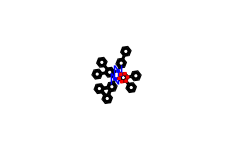 c1ccc(-c2ccc(N(c3ccc(-c4ccccc4)cc3)c3cc(-c4ccccc4)c(-c4ccccc4)cc3N(c3ccc(-c4ccccc4)cc3)c3ccc4c5ccccc5c5ccccc5c4c3)cc2)cc1